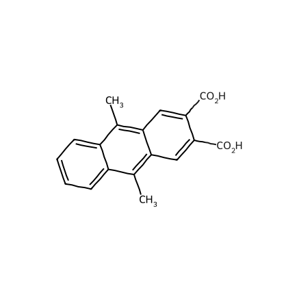 Cc1c2ccccc2c(C)c2cc(C(=O)O)c(C(=O)O)cc12